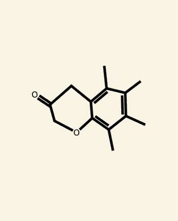 Cc1c(C)c(C)c2c(c1C)CC(=O)CO2